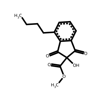 CCCCc1cccc2c1C(=O)C(O)(C(=O)OC)C2=O